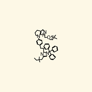 CCC(C)(C)Cc1cn(C(c2ccccc2)(c2ccccc2)c2ccccc2)c(CCc2ccc(N3CCCc4cnn(COCC[Si](C)(C)C)c43)cc2)n1